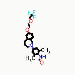 Cc1cc(N2CCCc3cc(OCCOCC(F)(F)F)ccc3C2)cc(C)c1NC=O